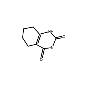 O=C1[N]C(=O)C2=C(CCCC2)N1